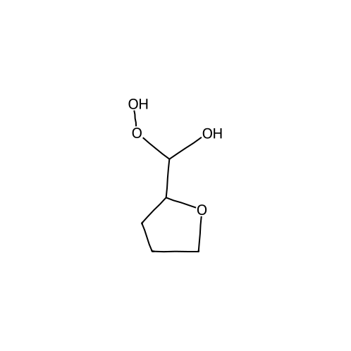 OOC(O)C1CCCO1